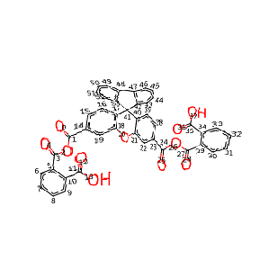 O=C(OC(=O)c1ccccc1C(=O)O)c1ccc2c(c1)Oc1cc(C(=O)OC(=O)c3ccccc3C(=O)O)ccc1C21c2ccccc2-c2ccccc21